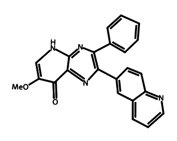 COc1c[nH]c2nc(-c3ccccc3)c(-c3ccc4ncccc4c3)nc2c1=O